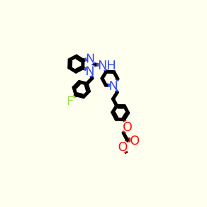 COC(=O)COc1ccc(CCN2CCC(Nc3nc4ccccc4n3Cc3ccc(F)cc3)CC2)cc1